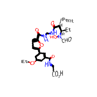 CCCCC[C@@H](C(=O)NCNC(=O)c1ccc(-c2cc(OCC)cc(C(=O)NCC(=O)O)c2)o1)[C@@H](CC)N(O)C=O